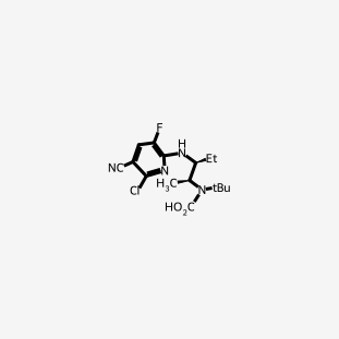 CC[C@H](Nc1nc(Cl)c(C#N)cc1F)[C@H](C)N(C(=O)O)C(C)(C)C